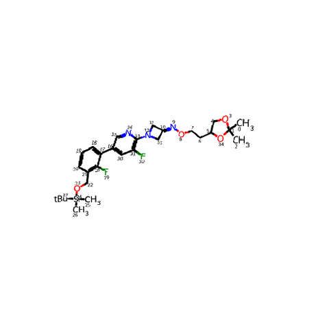 CC1(C)OCC(CCON=C2CN(c3ncc(-c4cccc(CO[Si](C)(C)C(C)(C)C)c4F)cc3F)C2)O1